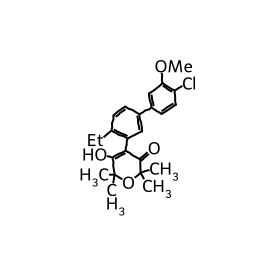 CCc1ccc(-c2ccc(Cl)c(OC)c2)cc1C1=C(O)C(C)(C)OC(C)(C)C1=O